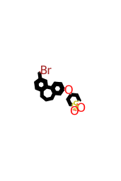 O=S1(=O)CCC(Oc2ccc3c(c2)CCCc2ccc(CBr)cc2-3)CC1